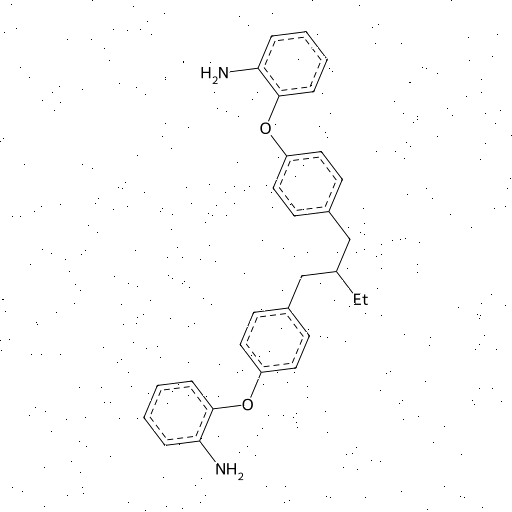 CCC(Cc1ccc(Oc2ccccc2N)cc1)Cc1ccc(Oc2ccccc2N)cc1